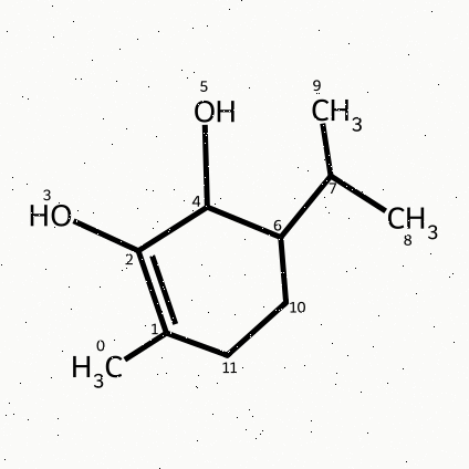 CC1=C(O)C(O)C(C(C)C)CC1